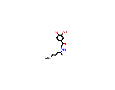 CSCCCC(C)NCC(O)c1ccc(O)c(O)c1